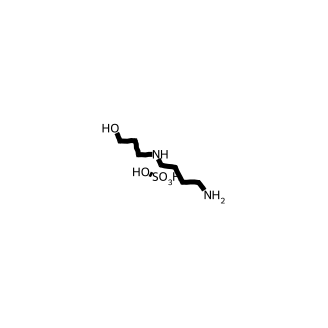 NCCCCNCCCO.O=S(=O)(O)O